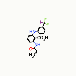 C=CC(=O)Nc1cccc(Nc2cccc(C(F)(F)I)c2)c1C(=O)O